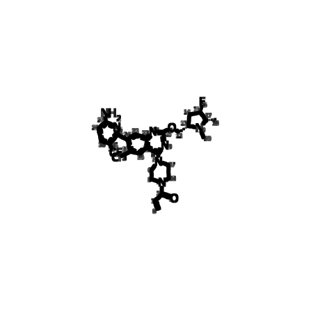 C=CC(=O)N1CCN(c2nc(OC[C@@H]3C[C@@H](F)[C@H](C)N3C)nc3cc(-c4nc(N)ccc4C(F)(F)F)c(Cl)cc23)CC1